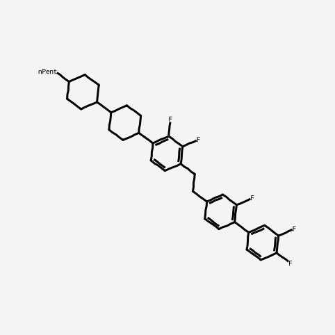 CCCCCC1CCC(C2CCC(c3ccc(CCc4ccc(-c5ccc(F)c(F)c5)c(F)c4)c(F)c3F)CC2)CC1